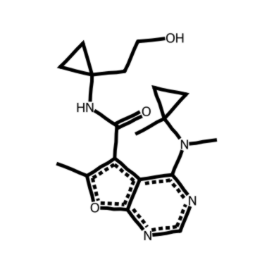 Cc1oc2ncnc(N(C)C3(C)CC3)c2c1C(=O)NC1(CCO)CC1